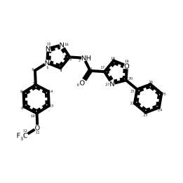 O=C(Nc1cn(Cc2ccc(OC(F)(F)F)cc2)nn1)c1coc(-c2ccccc2)n1